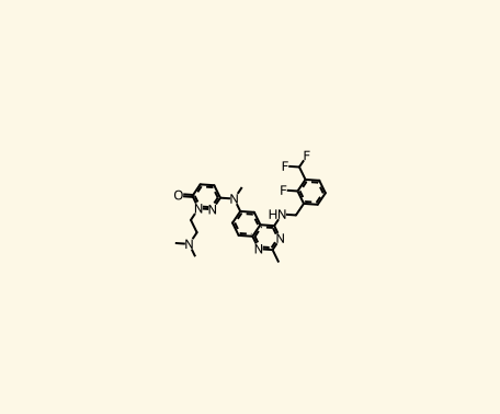 Cc1nc(NCc2cccc(C(F)F)c2F)c2cc(N(C)c3ccc(=O)n(CCN(C)C)n3)ccc2n1